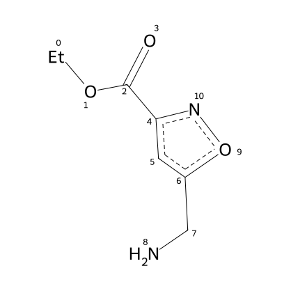 CCOC(=O)c1cc(CN)on1